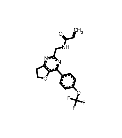 C=CC(=O)NCc1nc2c(c(-c3ccc(OC(F)(F)F)cc3)n1)OCC2